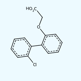 O=C(O)COc1ccccc1-c1ccccc1Cl